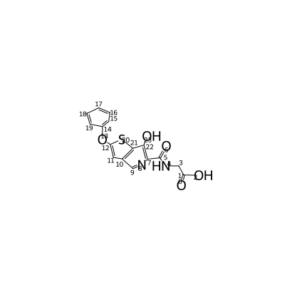 O=C(O)CNC(=O)c1ncc2cc(Oc3ccccc3)sc2c1O